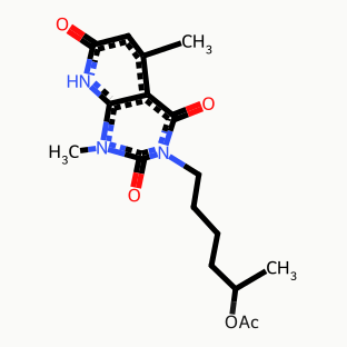 CC(=O)OC(C)CCCCn1c(=O)c2c(C)cc(=O)[nH]c2n(C)c1=O